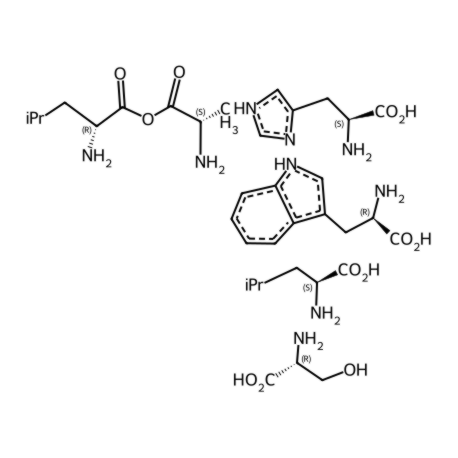 CC(C)C[C@@H](N)C(=O)OC(=O)[C@H](C)N.CC(C)C[C@H](N)C(=O)O.N[C@@H](Cc1c[nH]cn1)C(=O)O.N[C@H](CO)C(=O)O.N[C@H](Cc1c[nH]c2ccccc12)C(=O)O